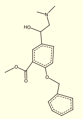 COC(=O)c1cc(C(O)CN(C)C)ccc1OCc1ccccc1